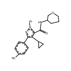 CC(C)n1nc(-c2ccc(C#N)cc2)c(C2CC2)c1C(=O)NC1CCCOC1